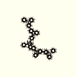 c1ccc(-c2nc(-c3ccc(-n4c5ccccc5c5cc(-c6ccc7c(c6)c6ccccc6n7-c6ccccc6)ccc54)cc3)nc3c2ccc2cc(-n4c5ccccc5c5cc(-c6ccc7c(c6)c6ccccc6n7-c6ccccc6)ccc54)ccc23)cc1